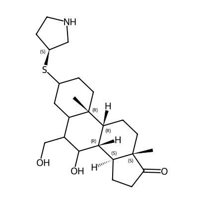 C[C@]12CCC(S[C@H]3CCNC3)CC1C(CO)C(O)[C@@H]1[C@H]2CC[C@]2(C)C(=O)CC[C@@H]12